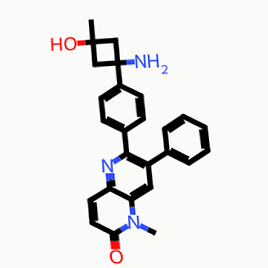 Cn1c(=O)ccc2nc(-c3ccc(C4(N)CC(C)(O)C4)cc3)c(-c3ccccc3)cc21